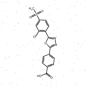 CS(=O)(=O)c1ccc(-c2nnc(-c3ccc(C(=O)O)cc3)o2)c(Cl)c1